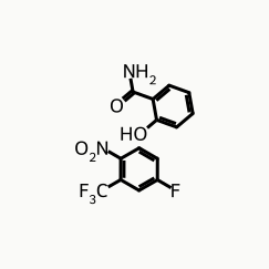 NC(=O)c1ccccc1O.O=[N+]([O-])c1ccc(F)cc1C(F)(F)F